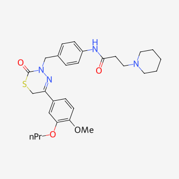 CCCOc1cc(C2=NN(Cc3ccc(NC(=O)CCN4CCCCC4)cc3)C(=O)SC2)ccc1OC